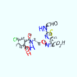 O=CNc1nc(/C(=N\OCCNC(=O)c2cc(Cl)ccc2O)C(=O)O)cs1